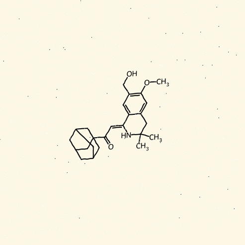 COc1cc2c(cc1CO)/C(=C/C(=O)C13CC4CC(CC(C4)C1)C3)NC(C)(C)C2